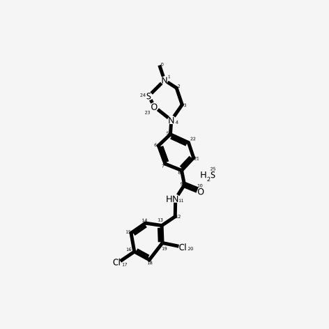 CN1CCN(c2ccc(C(=O)NCc3ccc(Cl)cc3Cl)cc2)OS1.S